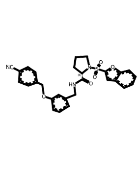 N#Cc1ccc(COc2cccc(CNC(=O)[C@@H]3CCCN3S(=O)(=O)c3cc4ccccc4o3)c2)cc1